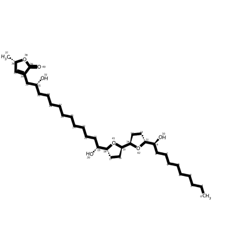 CCCCCCCCC[C@H](O)[C@H]1CC[C@H]([C@H]2CC[C@H]([C@H](O)CCCCCCCCCC[C@@H](O)CC3=C[C@H](C)OC3=O)O2)O1